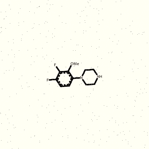 COc1c(N2CCNCC2)ccc(F)c1F